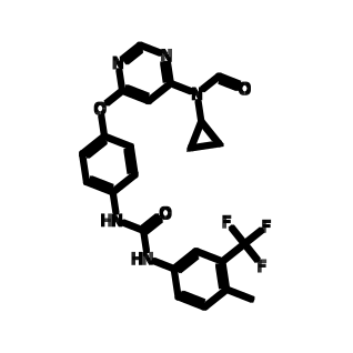 Cc1ccc(NC(=O)Nc2ccc(Oc3cc(N(C=O)C4CC4)ncn3)cc2)cc1C(F)(F)F